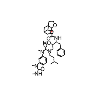 CNC1Oc2ccc(N(C)C(=O)N(CCC(C)C)C[C@@H](O)[C@H](Cc3ccccc3)NC(=O)OC3C4COC5OCC3C5C4)cc2N1C